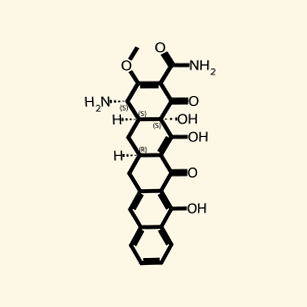 COC1=C(C(N)=O)C(=O)[C@@]2(O)C(O)=C3C(=O)c4c(cc5ccccc5c4O)C[C@H]3C[C@H]2[C@@H]1N